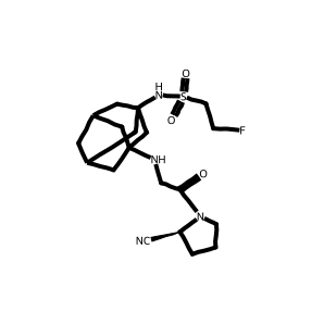 N#C[C@@H]1CCCN1C(=O)CNC12CC3CC(C1)CC(NS(=O)(=O)CCF)(C3)C2